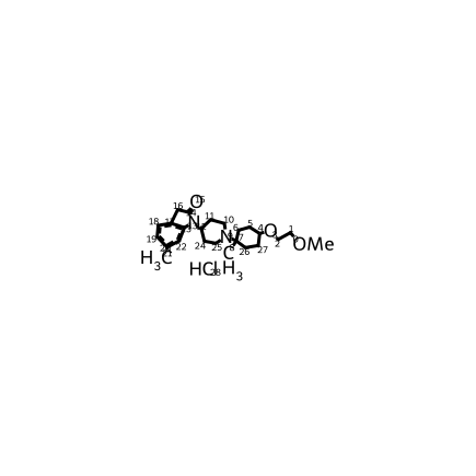 COCCOC1CCC(C)(N2CCC(N3C(=O)Cc4ccc(C)cc43)CC2)CC1.Cl